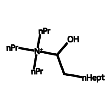 CCCCCCCCC(O)[N+](CCC)(CCC)CCC